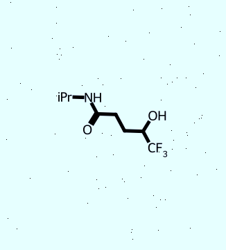 CC(C)NC(=O)CCC(O)C(F)(F)F